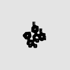 O=C(CC(c1ccc(F)cc1)c1ccncc1F)N1C(=O)OC[C@H]1c1ccccc1